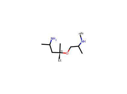 CCCNC(C)CO[C@](C)(CC)CC(C)N